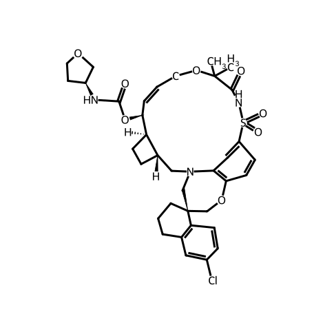 CC1(C)OCC=C[C@H](OC(=O)N[C@H]2CCOC2)[C@@H]2CC[C@H]2CN2C[C@@]3(CCCc4cc(Cl)ccc43)COc3ccc(cc32)S(=O)(=O)NC1=O